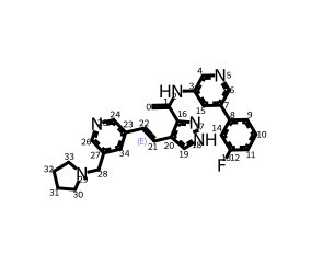 C=C(Nc1cncc(-c2cccc(F)c2)c1)c1n[nH]cc1/C=C/c1cncc(CN2CCCC2)c1